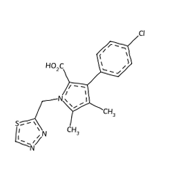 Cc1c(-c2ccc(Cl)cc2)c(C(=O)O)n(Cc2nncs2)c1C